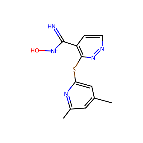 Cc1cc(C)nc(Sc2nnccc2C(=N)NO)c1